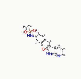 CS(=O)(=O)Nc1ccc(C=C2C(=O)Nc3ncccc32)cc1